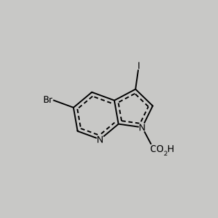 O=C(O)n1cc(I)c2cc(Br)cnc21